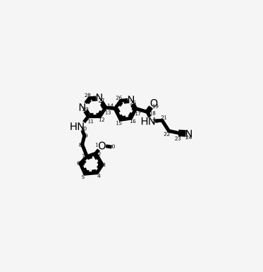 COc1ccccc1CCNc1cc(-c2ccc(C(=O)NCCC#N)nc2)ncn1